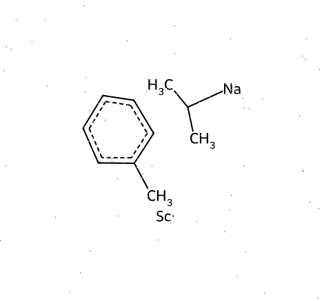 C[CH](C)[Na].Cc1ccccc1.[Sc]